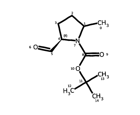 CC1CC[C@H](C=O)N1C(=O)OC(C)(C)C